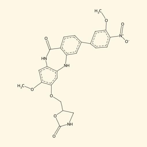 COc1cc2c(cc1OCC1CNC(=O)O1)Nc1cc(-c3ccc([N+](=O)[O-])c(OC)c3)ccc1C(=O)N2